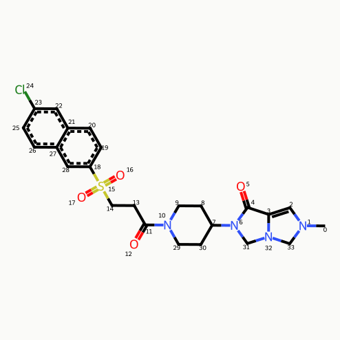 CN1C=C2C(=O)N(C3CCN(C(=O)CCS(=O)(=O)c4ccc5cc(Cl)ccc5c4)CC3)CN2C1